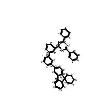 c1ccc(-c2nc(-c3ccccc3)nc(-c3cccc(-c4cccc(-c5ccc6c(c5)-c5ccccc5C65CCCCC5)c4)c3)n2)cc1